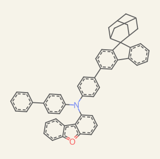 c1ccc(-c2ccc(N(c3ccc(-c4ccc5c(c4)-c4ccccc4C54C5CC6CC(C5)CC4C6)cc3)c3cccc4oc5ccccc5c34)cc2)cc1